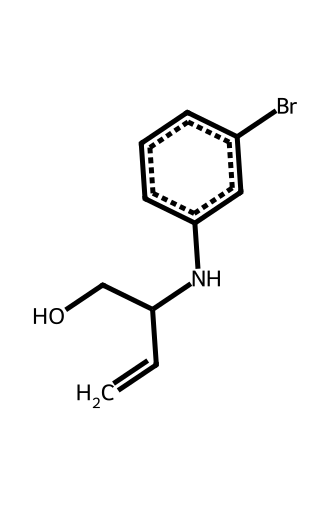 C=CC(CO)Nc1cccc(Br)c1